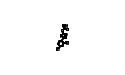 O=C(O)Oc1nc(-c2ccc(Cl)cc2Cl)no1